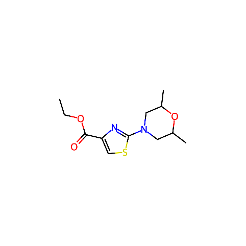 CCOC(=O)c1csc(N2CC(C)OC(C)C2)n1